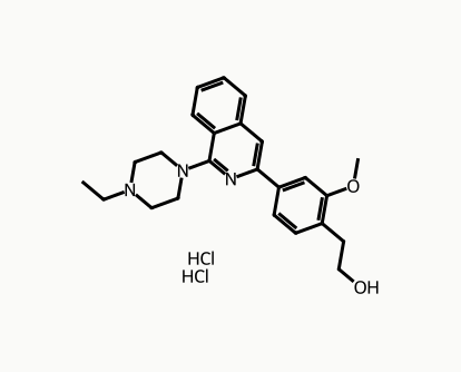 CCN1CCN(c2nc(-c3ccc(CCO)c(OC)c3)cc3ccccc23)CC1.Cl.Cl